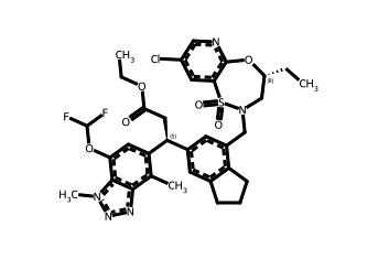 CCOC(=O)C[C@@H](c1cc2c(c(CN3C[C@@H](CC)Oc4ncc(Cl)cc4S3(=O)=O)c1)CCC2)c1cc(OC(F)F)c2c(nnn2C)c1C